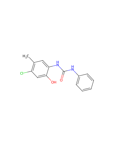 Cc1cc(NC(=O)Nc2ccccc2)c(O)cc1Cl